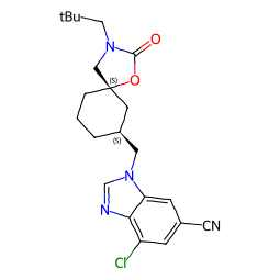 CC(C)(C)CN1C[C@@]2(CCC[C@H](Cn3cnc4c(Cl)cc(C#N)cc43)C2)OC1=O